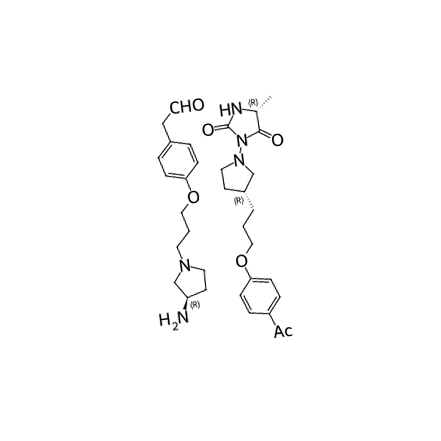 CC(=O)c1ccc(OCCC[C@@H]2CCN(N3C(=O)N[C@H](C)C3=O)C2)cc1.N[C@@H]1CCN(CCCOc2ccc(CC=O)cc2)C1